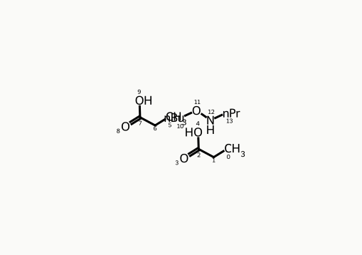 CCC(=O)O.CCC(=O)O.CCCCONCCC